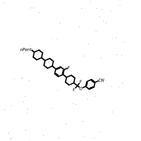 CCCCCC1CCC(C2CCC(c3ccc(C4CCC(C(F)(F)Oc5ccc(C#N)cc5)CC4)c(F)c3)CC2)CC1